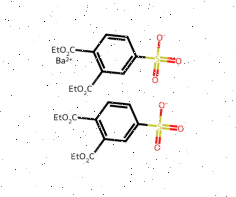 CCOC(=O)c1ccc(S(=O)(=O)[O-])cc1C(=O)OCC.CCOC(=O)c1ccc(S(=O)(=O)[O-])cc1C(=O)OCC.[Ba+2]